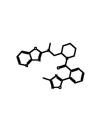 Cc1noc(-c2ccccc2C(=O)N2CCCCC2CN(C)c2nc3ncccc3o2)n1